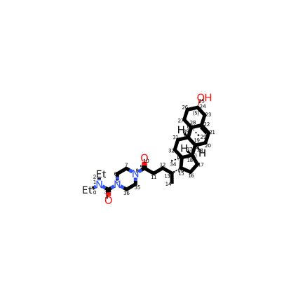 CCN(CC)C(=O)N1CCN(C(=O)CCC(C)[C@H]2CC[C@H]3[C@@H]4CC=C5C[C@@H](O)CC[C@]5(C)[C@H]4CC[C@]23C)CC1